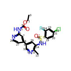 CCOC(=O)Nc1cc(-c2cnc(C)c(N[S+]([O-])c3ccc(Cl)cc3F)c2)ccn1